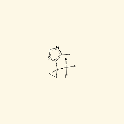 Cc1ncsc1C1(C(F)(F)F)CC1